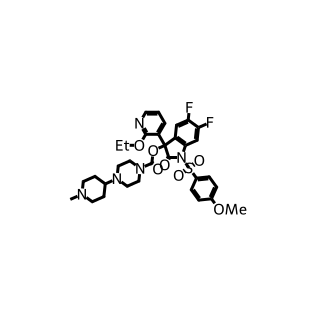 CCOc1ncccc1C1(OC(=O)N2CCN(C3CCN(C)CC3)CC2)C(=O)N(S(=O)(=O)c2ccc(OC)cc2)c2cc(F)c(F)cc21